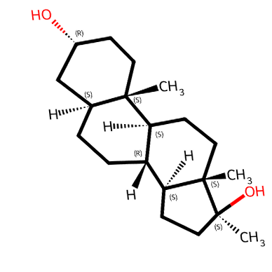 C[C@]12CC[C@@H](O)C[C@@H]1CC[C@@H]1[C@@H]2CC[C@@]2(C)[C@H]1CC[C@]2(C)O